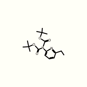 CCc1cccc(N(C(=O)OC(C)(C)C)C(=O)OC(C)(C)C)n1